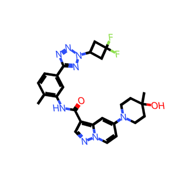 Cc1ccc(-c2nnn(C3CC(F)(F)C3)n2)cc1NC(=O)c1cnn2ccc(N3CCC(C)(O)CC3)cc12